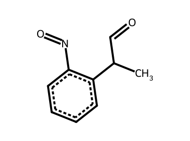 CC(C=O)c1ccccc1N=O